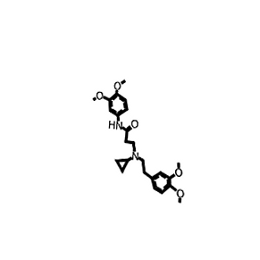 COc1ccc(CCN(CCC(=O)Nc2ccc(OC)c(OC)c2)C2CC2)cc1OC